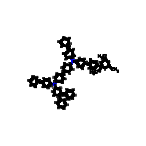 C=C1CC(C)CC(CC)(c2ccc(-c3ccc(N(c4ccc(-c5ccccc5)cc4)c4ccc(-c5ccc(N(c6ccc(-c7ccccc7)cc6)c6ccc(-c7ccccc7)c(-c7ccccc7)c6)cc5)cc4)cc3)cc2)C1